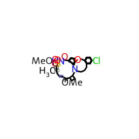 COC(=O)C[C@H]1[C@H](C)C/C=C/[C@H](OC)C2CCC2CN2CCCCc3cc(Cl)ccc3COc3ccc(cc32)C(=O)NS1(=O)=O